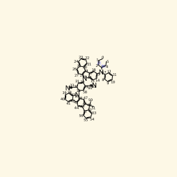 C/C=C\C(=C/C)N(c1ccccc1)c1ccc2c(c1)c1c3ccccc3ccc1n2C1=CC(C#N)C(n2c3ccccc3c3cc4c(cc32)C(C)(C)c2ccccc2-4)C=C1C#N